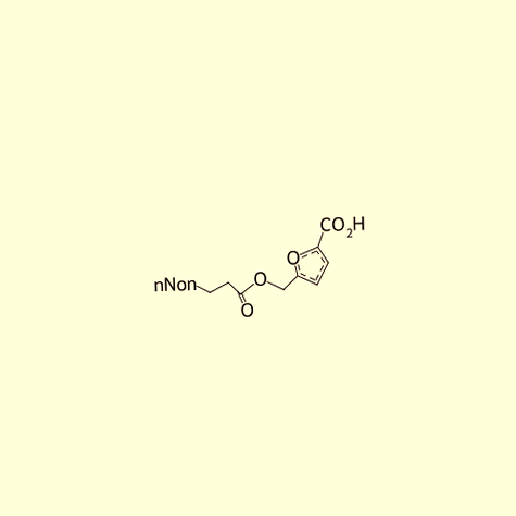 CCCCCCCCCCCC(=O)OCc1ccc(C(=O)O)o1